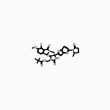 COc1ccc2c(c1F)C(=O)N(C[C@@]1(c3cc4nc(N5C(=O)CCC5C)ccc4o3)NC(=O)N(COC(=O)C(C)(C)C)C1=O)C2